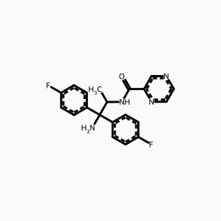 CC(NC(=O)c1cnccn1)C(N)(c1ccc(F)cc1)c1ccc(F)cc1